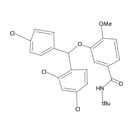 COc1ccc(C(=O)NC(C)(C)C)cc1OC(c1ccc(Cl)cc1)c1ccc(Cl)cc1Cl